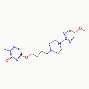 COc1cnc(N2CCN(CCCCOc3cnn(C)c(=O)n3)CC2)nc1